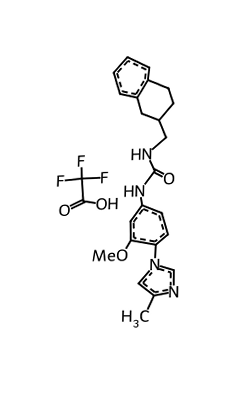 COc1cc(NC(=O)NCC2CCc3ccccc3C2)ccc1-n1cnc(C)c1.O=C(O)C(F)(F)F